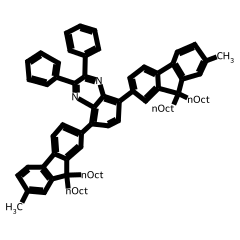 CCCCCCCCC1(CCCCCCCC)c2cc(C)ccc2-c2ccc(-c3ccc(-c4ccc5c(c4)C(CCCCCCCC)(CCCCCCCC)c4cc(C)ccc4-5)c4nc(-c5ccccc5)c(-c5ccccc5)nc34)cc21